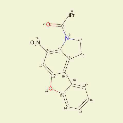 CC(C)C(=O)N1CCc2c1c([N+](=O)[O-])cc1oc3ccccc3c21